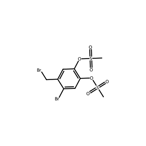 CS(=O)(=O)Oc1cc(Br)c(CBr)cc1OS(C)(=O)=O